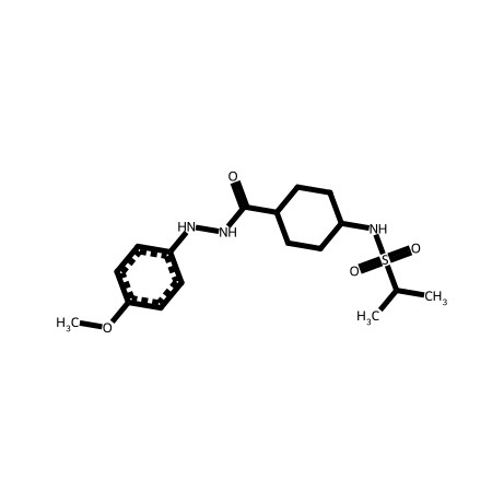 COc1ccc(NNC(=O)C2CCC(NS(=O)(=O)C(C)C)CC2)cc1